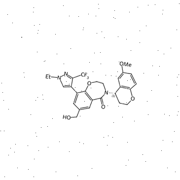 CCn1cc(-c2cc(CO)cc3c2OCCN([C@H]2CCOc4ccc(OC)cc42)C3=O)c(C(F)(F)F)n1